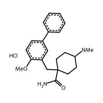 CNC1CCC(Cc2cc(-c3ccccc3)ccc2OC)(C(N)=O)CC1.Cl